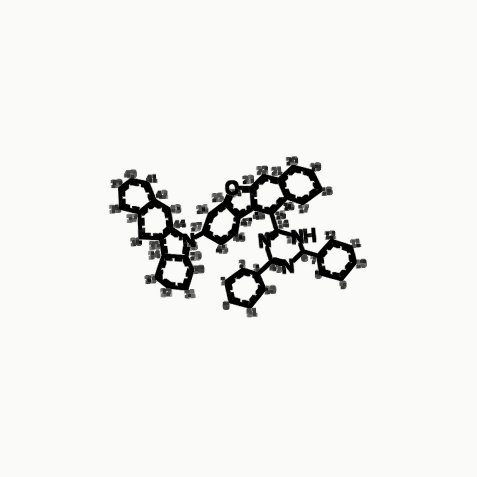 c1ccc(C2=NC(c3ccccc3)NC(c3c4ccccc4cc4oc5cc(-n6c7ccccc7c7cc8ccccc8cc76)ccc5c34)=N2)cc1